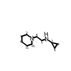 C1CCN(CCNC2CC2)CC1